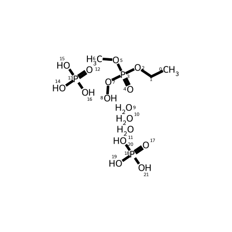 CCOP(=O)(OC)OO.O.O.O.O=P(O)(O)O.O=P(O)(O)O